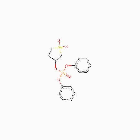 O=P(Oc1ccccc1)(Oc1ccccc1)OC1CCS(=O)(=O)C1